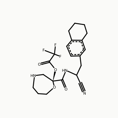 N#CC(Cc1ccc2c(c1)CCCC2)NC(=O)[C@@]1(OC(=O)C(F)(F)F)CNCCCO1